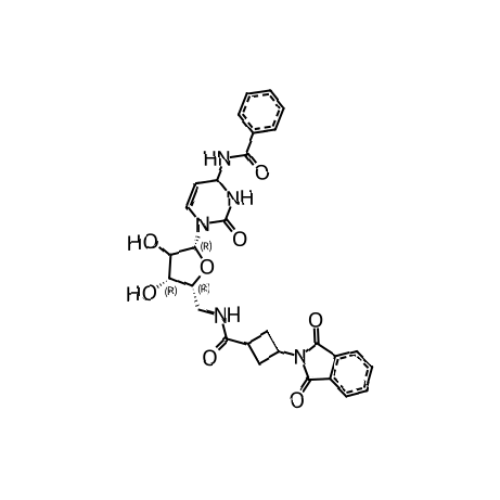 O=C(NC1C=CN([C@@H]2O[C@H](CNC(=O)C3CC(N4C(=O)c5ccccc5C4=O)C3)[C@H](O)C2O)C(=O)N1)c1ccccc1